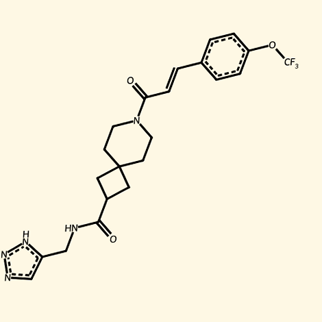 O=C(NCc1cnn[nH]1)C1CC2(CCN(C(=O)C=Cc3ccc(OC(F)(F)F)cc3)CC2)C1